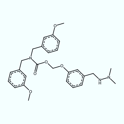 COc1cccc(CN(Cc2cccc(OC)c2)C(=O)OCOc2cccc(CNN(C)C)c2)c1